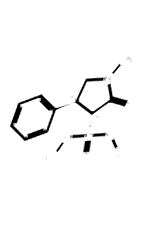 CCOP(=O)(OCC)[C@H]1C(=O)N(C(C)(C)C)C[C@@H]1c1ccccc1